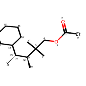 CCC(=O)OCC(C)(C)[C@@H](C)[C@H](C)C1CCCCC1